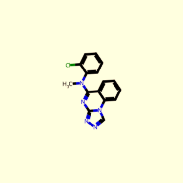 CN(c1ccccc1Cl)c1nc2nncn2c2ccccc12